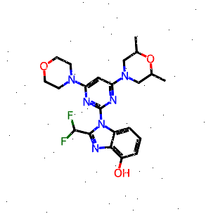 CC1CN(c2cc(N3CCOCC3)nc(-n3c(C(F)F)nc4c(O)cccc43)n2)CC(C)O1